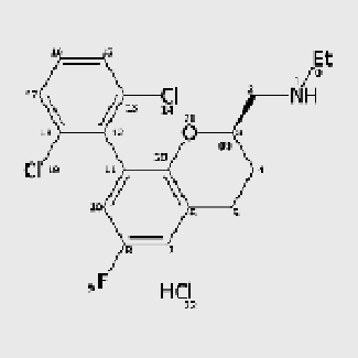 CCNC[C@H]1CCc2cc(F)cc(-c3c(Cl)cccc3Cl)c2O1.Cl